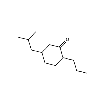 CCCC1CCC(CC(C)C)CC1=O